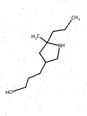 CCCC1(C)CC(CCCO)CN1